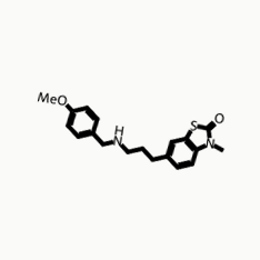 COc1ccc(CNCCCc2ccc3c(c2)sc(=O)n3C)cc1